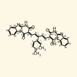 C=N\C=C/C(=C\C)C(=C\C=c1/c(=O)[nH]c2nc3ccccc3n2c1=O)/C=C/c1c(O)n2c(nc3ccccc32)[nH]c1=O